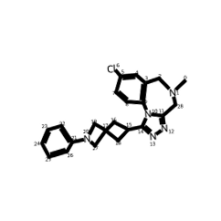 CN1Cc2cc(Cl)ccc2-n2c(nnc2C2CC3(C2)CN(c2ccccc2)C3)C1